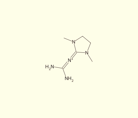 CN1CCN(C)C1=[N+]=C(N)N